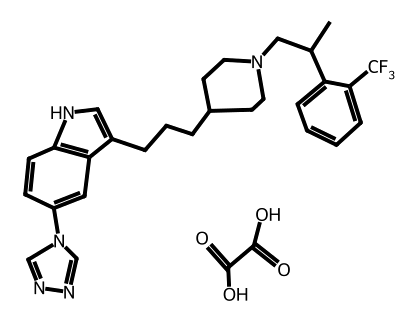 CC(CN1CCC(CCCc2c[nH]c3ccc(-n4cnnc4)cc23)CC1)c1ccccc1C(F)(F)F.O=C(O)C(=O)O